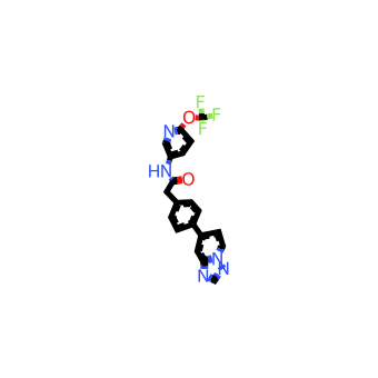 O=C(Cc1ccc(-c2ccn3ncnc3c2)cc1)Nc1ccc(OC(F)(F)F)nc1